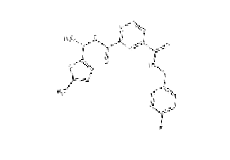 Cc1ccc([C@H](C)NC(=O)c2cc(C(=O)NCc3ccc(F)cc3)ncn2)s1